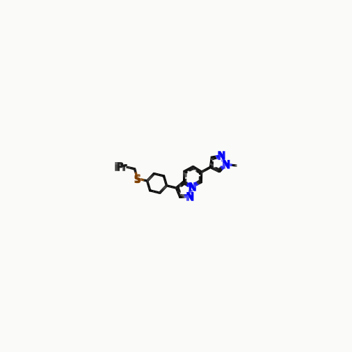 CC(C)CSC1CCC(c2cnn3cc(-c4cnn(C)c4)ccc23)CC1